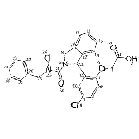 O=C(O)COc1ccc(Cl)cc1C1c2ccccc2CN1C(=O)N(Cl)Cc1ccccc1